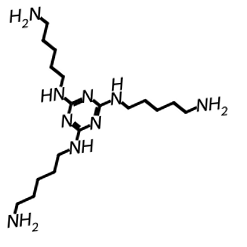 NCCCCCNc1nc(NCCCCCN)nc(NCCCCCN)n1